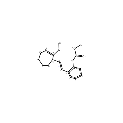 COC(=O)Cc1ccccc1/C=C/C1CCCCN=C1OC